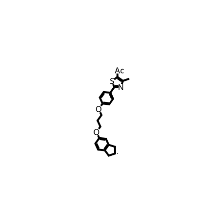 CC(=O)c1sc(-c2ccc(OCCCOc3ccc4c(c3)C[CH]C4)cc2)nc1C